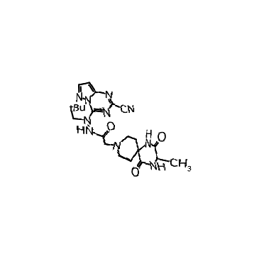 CC1NC(=O)C2(CCN(CC(=O)NN(CC(C)(C)C)c3nc(C#N)nc4ccnn34)CC2)NC1=O